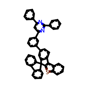 c1ccc(-c2cc(-c3cccc(-c4ccc5c(c4)C4(c6ccccc6-c6ccccc64)c4sc6ccccc6c4-5)c3)nc(-c3ccccc3)n2)cc1